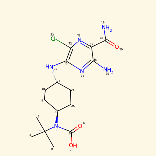 CC(C)(C)N(C(=O)O)[C@H]1CC[C@H](Nc2nc(N)c(C(N)=O)nc2Cl)CC1